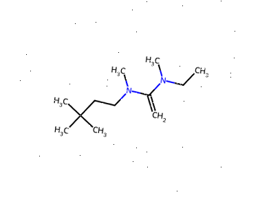 C=C(N(C)CC)N(C)CCC(C)(C)C